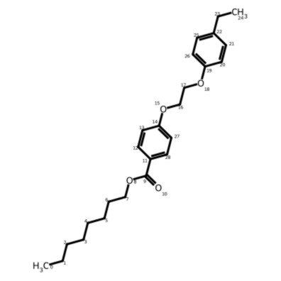 CCCCCCCCOC(=O)c1ccc(OCCOc2ccc(CC)cc2)cc1